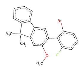 COc1cc2c(cc1-c1c(F)cccc1Br)-c1ccccc1C2(C)C